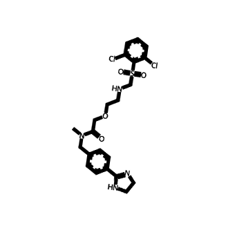 CN(Cc1ccc(C2=NCCN2)cc1)C(=O)COCCNCS(=O)(=O)c1c(Cl)cccc1Cl